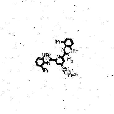 CC(=Nc1c(C(C)C)cccc1C(C)C)c1cc(C)cc(C(C)=Nc2c(C(C)C)cccc2C(C)C)n1.[Cl-].[Cl-].[Fe+2]